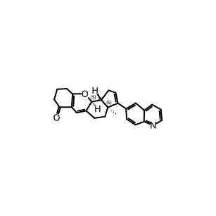 C[C@]12CCC3=CC4=C(CCCC4=O)O[C@H]3[C@@H]1CC=C2c1ccc2ncccc2c1